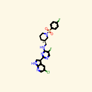 O=S(=O)(c1ccc(F)cc1)N1CCC[C@H](CNc2nc(-c3c[nH]c4ncc(Cl)cc34)ncc2F)C1